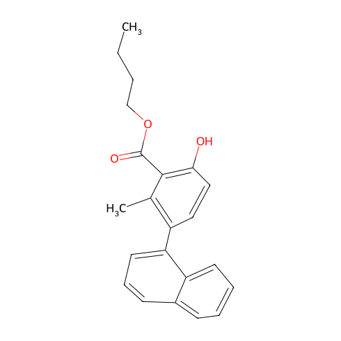 CCCCOC(=O)c1c(O)ccc(-c2cccc3ccccc23)c1C